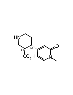 Cn1ccc([C@H]2CCNC[C@@H]2C(=O)O)cc1=O